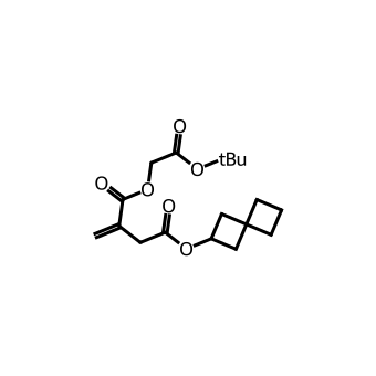 C=C(CC(=O)OC1CC2(CCC2)C1)C(=O)OCC(=O)OC(C)(C)C